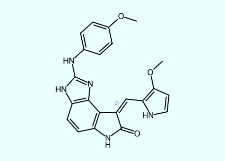 COc1ccc(Nc2nc3c4c(ccc3[nH]2)NC(=O)/C4=C\c2[nH]ccc2OC)cc1